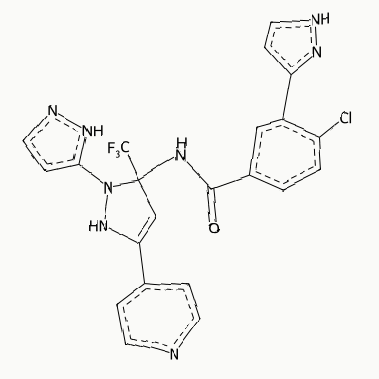 O=C(NC1(C(F)(F)F)C=C(c2ccncc2)NN1c1ccn[nH]1)c1ccc(Cl)c(-c2cc[nH]n2)c1